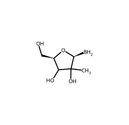 B[C@@H]1O[C@H](CO)C(O)C1(C)O